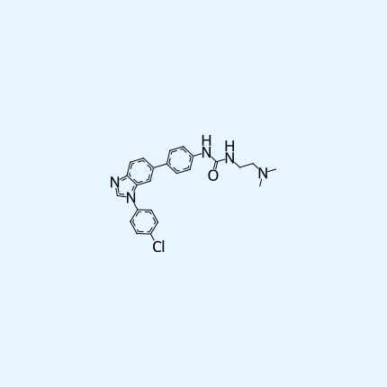 CN(C)CCNC(=O)Nc1ccc(-c2ccc3ncn(-c4ccc(Cl)cc4)c3c2)cc1